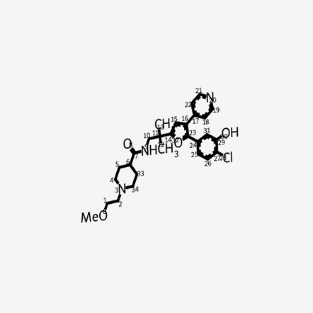 COCCN1CCC(C(=O)NCC(C)(C)c2cc(-c3ccncc3)c(-c3ccc(Cl)c(O)c3)o2)CC1